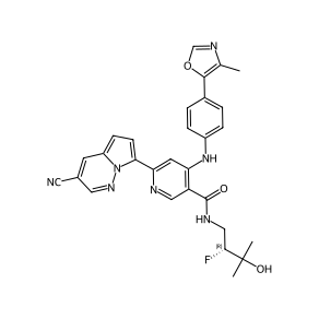 Cc1ncoc1-c1ccc(Nc2cc(-c3ccc4cc(C#N)cnn34)ncc2C(=O)NC[C@@H](F)C(C)(C)O)cc1